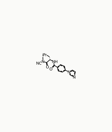 CC(C)C[C@H](NC(=O)c1ccc(-n2ccnc2)cc1)C(=O)N(C)C#N